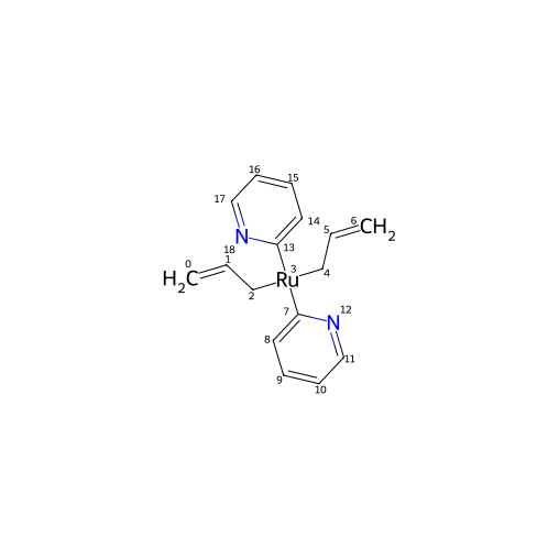 C=C[CH2][Ru]([CH2]C=C)([c]1ccccn1)[c]1ccccn1